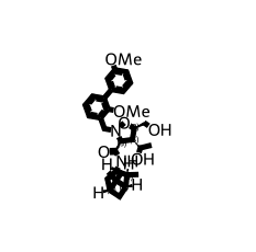 COc1cccc(-c2cccc(CN3O[C@@H](CO)[C@H](C(C)O)[C@H]3C(=O)N[C@H]3C[C@H]4C[C@@H]([C@@H]3C)C4(C)C)c2OC)c1